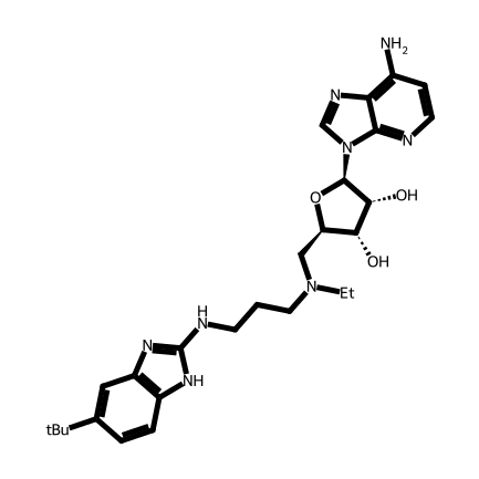 CCN(CCCNc1nc2cc(C(C)(C)C)ccc2[nH]1)C[C@H]1O[C@@H](n2cnc3c(N)ccnc32)[C@H](O)[C@@H]1O